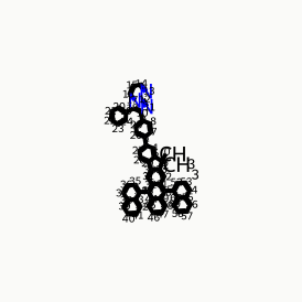 CC1(C)c2cc(-c3ccc(-c4nc5ncccn5c4-c4ccccc4)cc3)ccc2-c2cc3c(-c4cccc5ccccc45)c4ccccc4c(-c4cccc5ccccc45)c3cc21